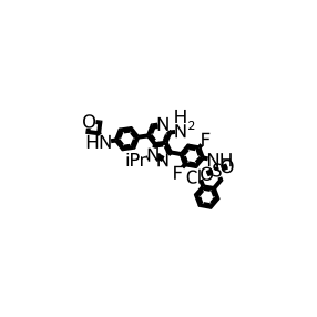 CC(C)n1nc(-c2cc(F)c(NS(=O)(=O)Cc3ccccc3Cl)cc2F)c2c(N)ncc(-c3ccc(NC4COC4)cc3)c21